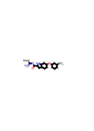 CNC(N)=NC(=O)c1cc2ccc(Oc3cccc([N+](=O)[O-])c3)cc2[nH]1